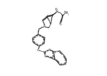 NC(=O)NC1C2CN(Cc3ccc(Oc4nc5ccccc5s4)cc3)CC21